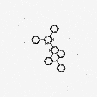 c1ccc(-c2cc(-c3ccccc3)nc(-c3cc4cccc5c4c(n3)-c3ccccc3N5c3ccccc3)n2)cc1